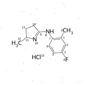 Cc1cc(F)ccc1NC1=NC(C)CC1.Cl